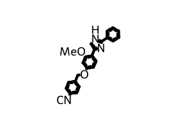 [C-]#[N+]c1ccc(COc2ccc(-c3c[nH]c(-c4ccccc4)n3)c(OC)c2)cc1